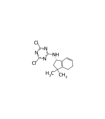 CC1(C)C[C@H](Nc2nc(Cl)nc(Cl)n2)C2=C1CCC=C2